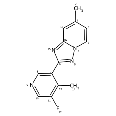 Cc1ccn2nc(-c3cncc(F)c3C)nc2c1